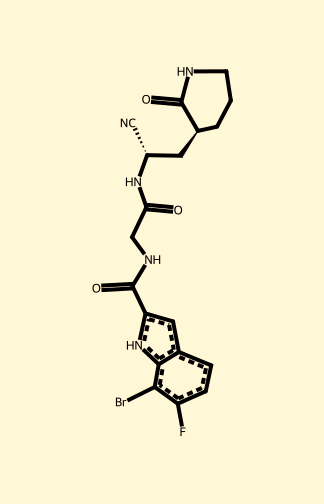 N#C[C@H](C[C@@H]1CCCNC1=O)NC(=O)CNC(=O)c1cc2ccc(F)c(Br)c2[nH]1